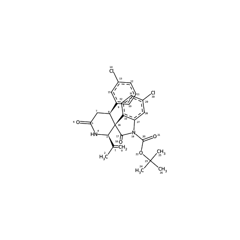 C=C(C)[C@H]1NC(=O)C[C@@H](c2cccc(Cl)c2)[C@]12C(=O)N(C(=O)OC(C)(C)C)c1cc(Cl)ccc12